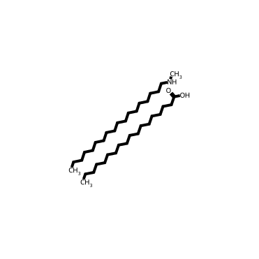 CCCCCCCCCCCCCCCCCC(=O)O.CCCCCCCCCCCCCCCCCCNC